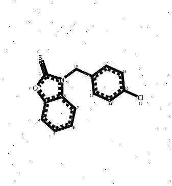 S=c1oc2ccccc2n1Cc1ccc(Cl)cc1